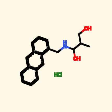 CC(CO)C(O)NCc1cccc2cc3ccccc3cc12.Cl